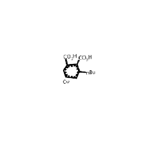 CCCCc1cccc(C(=O)O)c1C(=O)O.[Cu]